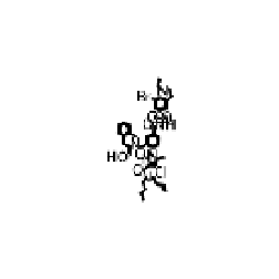 CCCCN(CCCC)C(=O)c1nn(-c2ccc(C(=O)NS(=O)(=O)c3cc(Br)c4c(c3)CCN4CC)cc2C(=O)N2Cc3ccccc3CC2CO)c(C)c1Cl